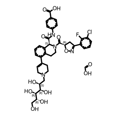 O=C(O)c1ccc(NC(=O)[C@@H]2c3cccc(C4=CCN(C[C@H](O)[C@@H](O)[C@H](O)[C@H](O)CO)CC4)c3CCN2C(=O)[C@H]2CC(c3cccc(Cl)c3F)=NO2)cc1.O=CO